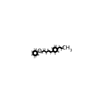 C/C=C/c1ccc(C=CCCCOc2ccccc2)cc1